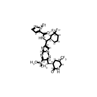 CCn1nccc1C(=O)N[C@H](c1cn2nc(C[C@H]3C[C@@H](C(F)(F)F)CNC3=O)c(N(C)C)nc2n1)[C@@H]1CCCC(F)(F)C1